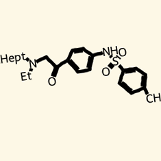 CCCCCCCN(CC)CC(=O)c1ccc(NS(=O)(=O)c2ccc(C)cc2)cc1